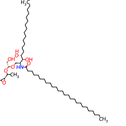 CCCCCCCCCCCCCCCCCCCCCCCCCC(=O)N[C@@H](CO[C@@H](CO)OC(C)[C@@H]1CO1)[C@H](O)[C@H](O)CCCCCCCCCCCCCC